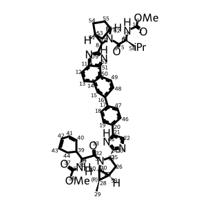 COC(=O)N[C@H](C(=O)N1C(c2nc3ccc4cc(-c5ccc(-c6cnc([C@@H]7C[C@H]8[C@@H](C)[C@H]8N7C(=O)[C@H](NC(=O)OC)C7C=CC=CC7)[nH]6)cc5)ccc4c3[nH]2)[C@H]2CC[C@@H]1C2)C(C)C